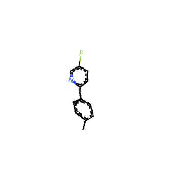 [CH2]c1ccc(-c2ccc(F)cn2)cc1